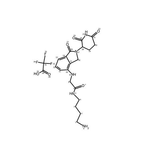 NCCCCNC(=O)CNc1cccc2c1CN(C1CCC(=O)NC1=O)C2=O.O=C(O)C(F)(F)F